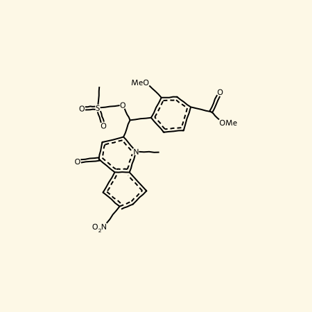 COC(=O)c1ccc(C(OS(C)(=O)=O)c2cc(=O)c3cc([N+](=O)[O-])ccc3n2C)c(OC)c1